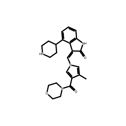 Cc1cn(C=C2C(=O)Nc3cccc(C4CCNCC4)c32)cc1C(=O)N1CCOCC1